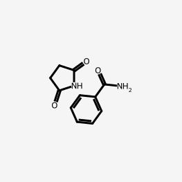 NC(=O)c1ccccc1.O=C1CCC(=O)N1